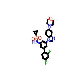 O=S(=O)(Nc1cc(-c2ccc(F)cc2F)cc(-n2cnc3cc(N4CCOCC4)ccc32)c1)C1CC1